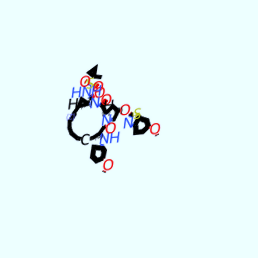 COc1cccc(N[C@H]2CCCCC/C=C\[C@@H]3C[C@@]3(C(=O)NS(=O)(=O)C3(C)CC3)NC(=O)[C@@H]3C[C@@H](Oc4nc5ccc(OC)cc5s4)CN3C2=O)c1